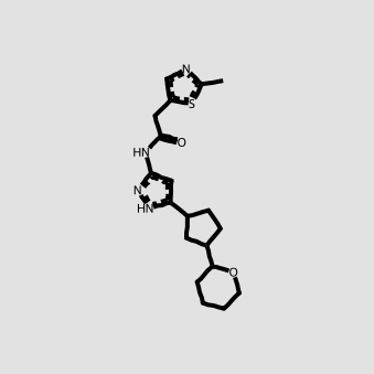 Cc1ncc(CC(=O)Nc2cc(C3CCC(C4CCCCO4)C3)[nH]n2)s1